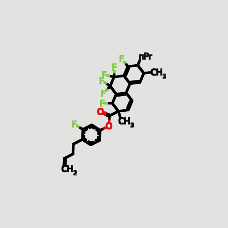 C=CCCc1ccc(OC(=O)C2(C)C=CC3=C(C2F)C(F)(F)C(F)(F)C2=C(F)C(CCC)C(C)C=C32)cc1F